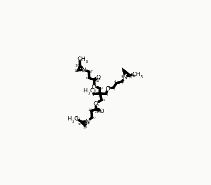 CCC(COCCCN1CC1C)(COC(=O)CCN1CC1C)COC(=O)CCN1CC1C